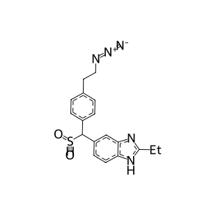 CCc1nc2cc(C(c3ccc(CCN=[N+]=[N-])cc3)[SH](=O)=O)ccc2[nH]1